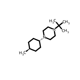 CC(C)(C)N1CCN([C@H]2CC[C@H](C)CC2)CC1